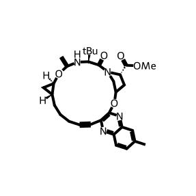 C=C1N[C@@H](C(C)(C)C)C(=O)N2CC(C[C@H]2C(=O)OC)Oc2nc3cc(C)ccc3nc2C#CCCC[C@@H]2C[C@H]2O1